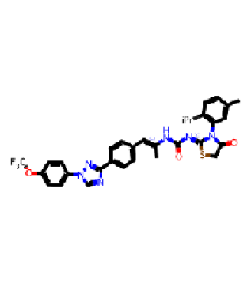 C/C(=C\c1ccc(-c2ncn(-c3ccc(OC(F)(F)F)cc3)n2)cc1)NC(=O)/N=C1\SCC(=O)N1c1cc(C)ccc1C(C)C